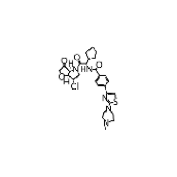 CN1CCN(c2nc(-c3ccc(C(=O)N[C@H](C(=O)N4C[C@H](Cl)[C@H]5OCC(=O)[C@H]54)C4CCCC4)cc3)cs2)CC1